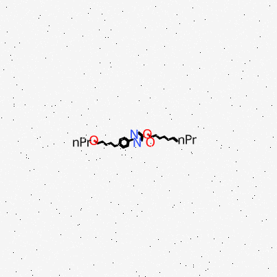 CCC/C=C/CCCCC(=O)Oc1cnc(-c2ccc(CCCCCOCCC)cc2)nc1